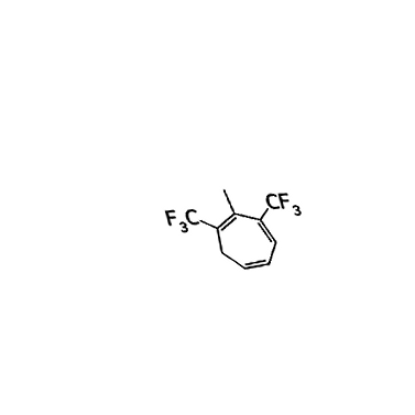 CC1=C(C(F)(F)F)CC=CC=C1C(F)(F)F